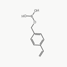 C=Cc1ccc(COB(O)O)cc1